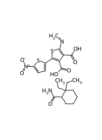 C=Nc1sc(-c2ccc([N+](=O)[O-])s2)c(C(=O)O)c1C(=O)O.CCC1(CC)CCCCC1C(N)=O